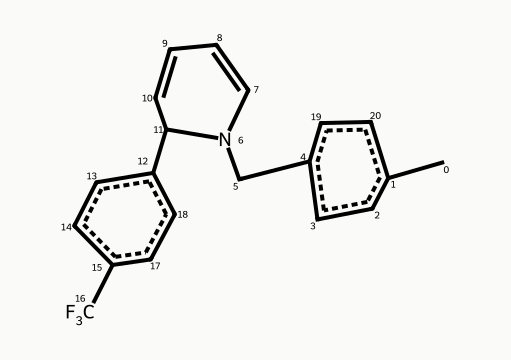 Cc1ccc(CN2C=CC=CC2c2ccc(C(F)(F)F)cc2)cc1